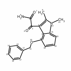 Cc1c(C(=O)C(N)=O)c2c(OCc3ccccc3)cccc2n1C